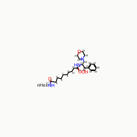 CCCCCCNC(=O)CCCCCCCCC(=O)N[C@@H](CN1CCOCC1)[C@@H](O)c1ccccc1